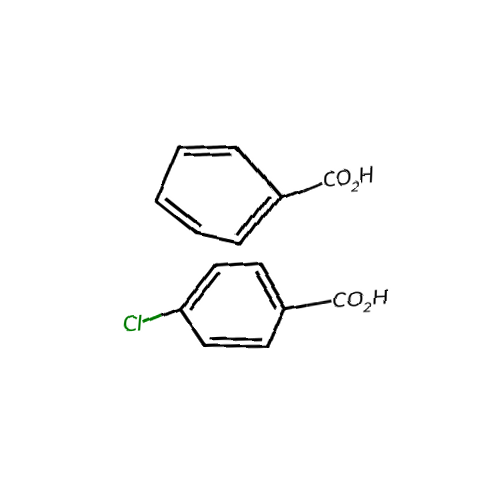 O=C(O)c1ccc(Cl)cc1.O=C(O)c1ccccc1